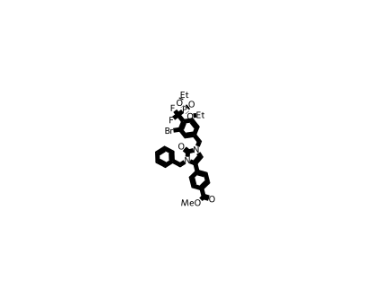 CCOP(=O)(OCC)C(F)(F)c1ccc(Cn2cc(-c3ccc(C(=O)OC)cc3)n(Cc3ccccc3)c2=O)cc1Br